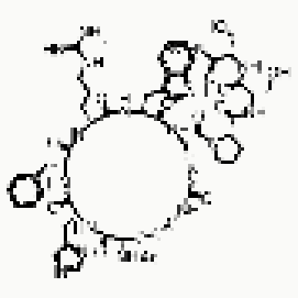 CNC(=O)[C@H](CO)NC(=O)[C@H](CO)NC(=O)[C@@H]1CCCN1C(=O)[C@@H]1CCC(=O)NCCC[C@H](NC(C)=O)C(=O)N[C@@H](Cc2c[nH]cn2)C(=O)N[C@H](Cc2ccccc2)C(=O)N[C@@H](CCCNC(=N)N)C(=O)N[C@@H](Cc2c[nH]c3ccccc23)C(=O)N1